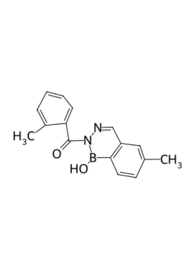 Cc1ccc2c(c1)C=NN(C(=O)c1ccccc1C)B2O